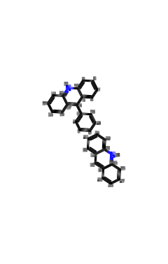 c1ccc(-c2c3ccccc3nc3ccccc23)cc1.c1ccc2nc3ccccc3cc2c1